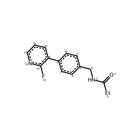 CCC(=O)NCc1ccc(-c2cccnc2F)cc1